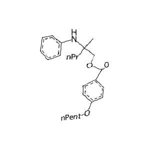 CCCCCOc1ccc(C(=O)OCC(C)(CCC)Nc2ccccc2)cc1